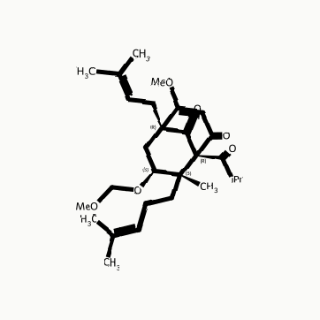 COCO[C@H]1C[C@@]2(CC=C(C)C)C(=O)[C@](C(=O)C(C)C)(C(=O)C=C2OC)[C@]1(C)CCC=C(C)C